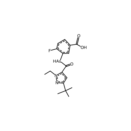 CCn1nc(C(C)(C)C)cc1C(=O)[AsH]c1cc(C(=O)O)ccc1F